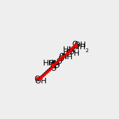 O=C(O)CCCCCCCCCCCCCCCCC(=O)N(CCC(=O)NCCOCCOCC(=O)NCCOCCOCC(=O)NCCCC[C@H](NP)C(=O)O)CC(=O)O